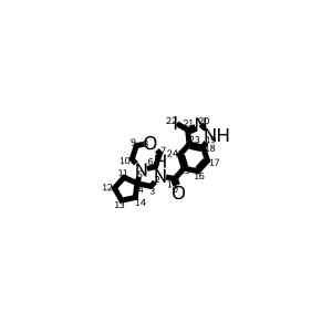 O=C(NCC1(N2CCOCC2)CCCC1)c1ccc2[nH]nc(I)c2c1